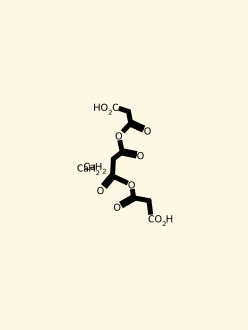 O=C(O)CC(=O)OC(=O)CC(=O)OC(=O)CC(=O)O.[CaH2].[CaH2]